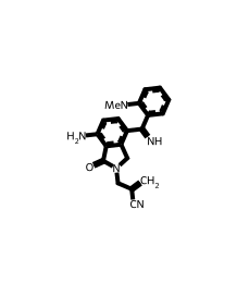 C=C(C#N)CN1Cc2c(C(=N)c3ccccc3NC)ccc(N)c2C1=O